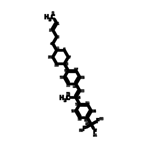 C/C=C/CCC1CCC(c2ccc(/C=C(\C)c3ccc(C(F)(F)F)cc3)cc2)CC1